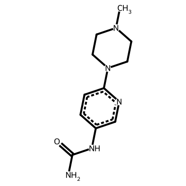 CN1CCN(c2ccc(NC(N)=O)cn2)CC1